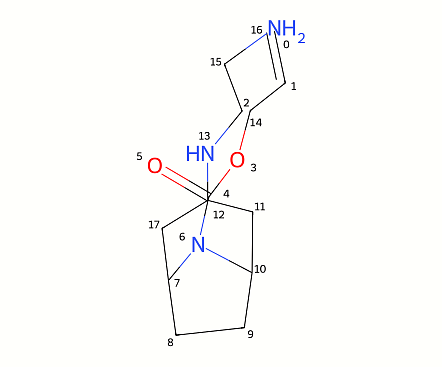 C=CCOC(=O)N1C2CCC1CC(NCCN)C2